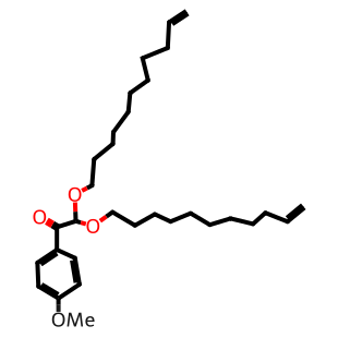 C=CCCCCCCCCCOC(OCCCCCCCCCC=C)C(=O)c1ccc(OC)cc1